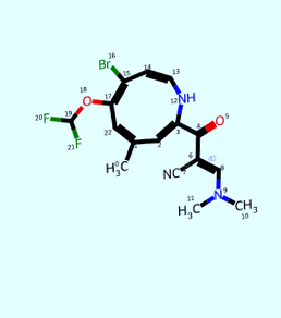 Cc1cc(C(=O)/C(C#N)=C/N(C)C)[nH]ccc(Br)c(OC(F)F)c1